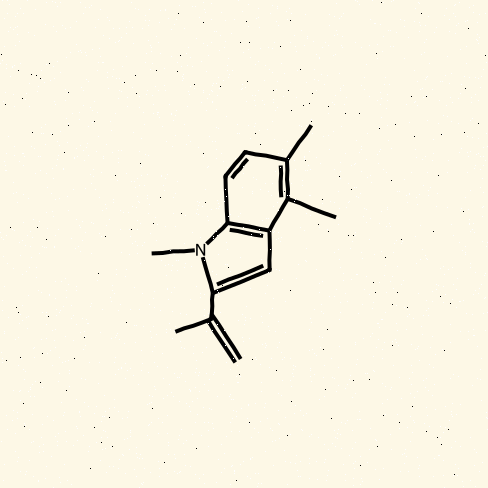 C=C(C)c1cc2c(C)c(C)ccc2n1C